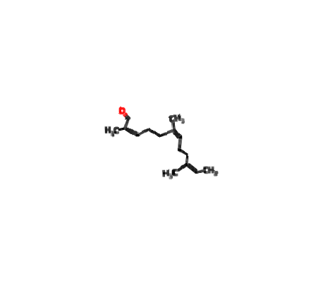 CC=C(C)CCC=C(C)CCC=C(C)C=O